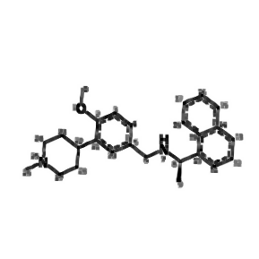 COc1ccc(CN[C@H](C)c2cccc3ccccc23)cc1C1CCN(C)CC1